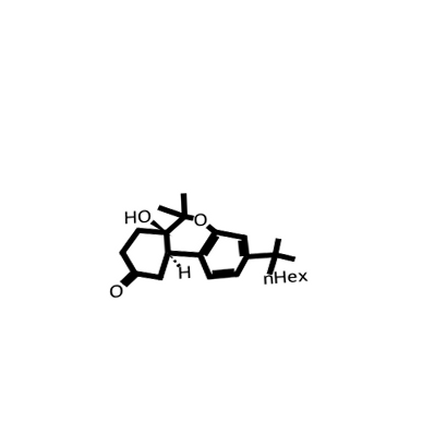 CCCCCCC(C)(C)c1ccc2c(c1)OC(C)(C)[C@@]1(O)CCC(=O)C[C@H]21